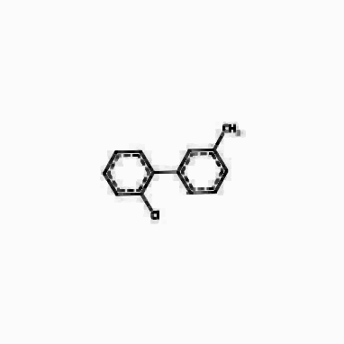 Cc1cc[c]c(-c2ccccc2Cl)c1